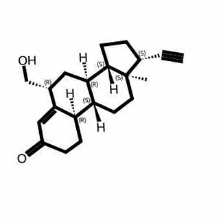 C#C[C@H]1CC[C@H]2[C@@H]3C[C@@H](CO)C4=CC(=O)CC[C@@H]4[C@H]3CC[C@]12C